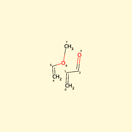 C=CC=O.C=COC